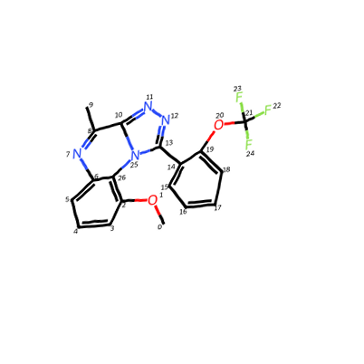 COc1cccc2nc(C)c3nnc(-c4ccccc4OC(F)(F)F)n3c12